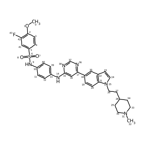 COc1ccc(S(=O)(=O)Nc2ccc(Nc3cc(-c4ccc5c(ccn5CCC5CCN(C)CC5)c4)ncn3)cc2)cc1F